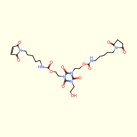 O=C(NCCCCCN1C(=O)C=CC1=O)OCCn1c(=O)n(CCO)c(=O)n(CCOC(=O)NCCCCCN2C(=O)CCC2=O)c1=O